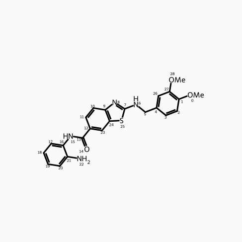 COc1ccc(CNc2nc3ccc(C(=O)Nc4ccccc4N)cc3s2)cc1OC